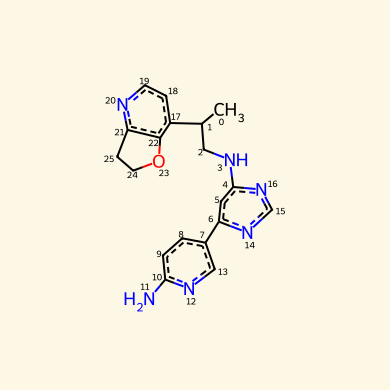 CC(CNc1cc(-c2ccc(N)nc2)ncn1)c1ccnc2c1OCC2